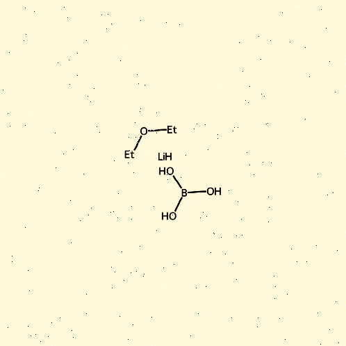 CCOCC.OB(O)O.[LiH]